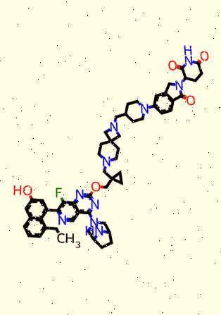 CCc1cccc2cc(O)cc(-c3ncc4c(N5CC6CCC(C5)N6)nc(OCC5(CN6CCC7(CC6)CN(CC6CCN(c8ccc9c(c8)CN(C8CCC(=O)NC8=O)C9=O)CC6)C7)CC5)nc4c3F)c12